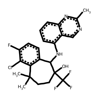 Cc1ncc2c(NC3c4ccc(F)c(Cl)c4C(C)(C)CCC3(O)C(F)(F)F)cccc2n1